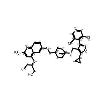 O=C(O)c1cc(OC(CO)CCl)c2cc(OCC34CCC(OCc5c(-c6c(Cl)cncc6Cl)noc5C5CC5)(CC3)CC4)ccc2n1